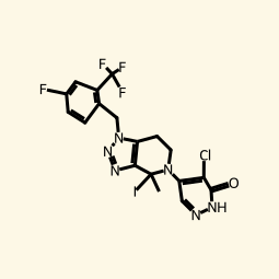 CC1(I)c2nnn(Cc3ccc(F)cc3C(F)(F)F)c2CCN1c1cn[nH]c(=O)c1Cl